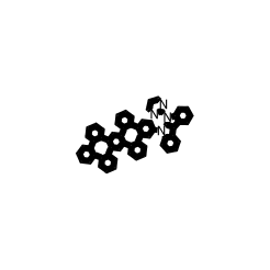 c1cnc(-n2c3ccccc3c3c4ccccc4n(-c4ccc5c6ccccc6c6cc7c8ccccc8c8ccccc8c8ccccc8c7cc6c6ccccc6c5c4)c32)nc1